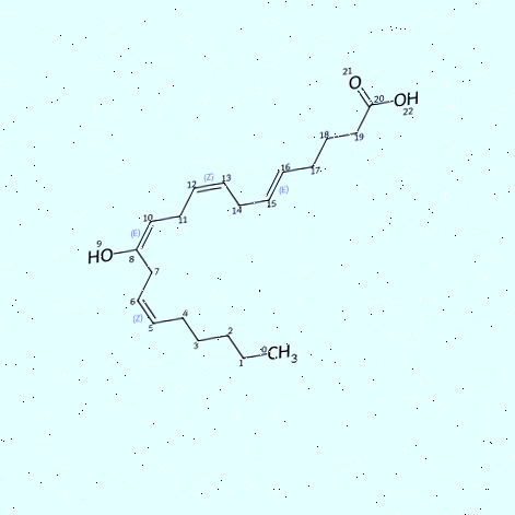 CCCCC/C=C\C/C(O)=C\C/C=C\C/C=C/CCCC(=O)O